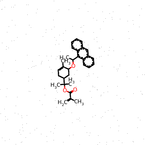 C=C(C)C(=O)OC(C)(C)C1CC=C(C)C(OC(C)c2c3ccccc3cc3ccccc23)C1